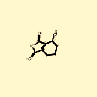 O=C1OC(=O)C2=C1CCCC2Cl